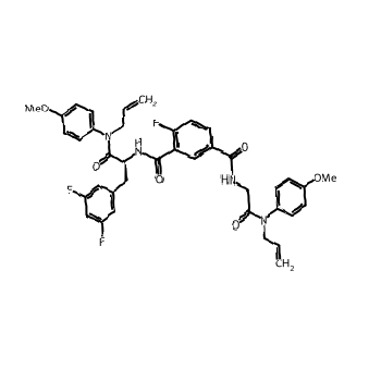 C=CCN(C(=O)CNC(=O)c1ccc(F)c(C(=O)N[C@@H](Cc2cc(F)cc(F)c2)C(=O)N(CC=C)c2ccc(OC)cc2)c1)c1ccc(OC)cc1